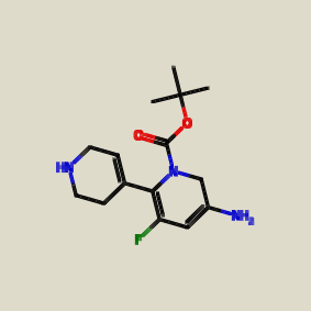 CC(C)(C)OC(=O)N1CC(N)=CC(F)=C1C1=CCNCC1